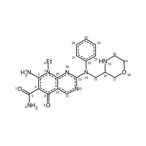 CCn1c(N)c(C(N)=O)c(=O)c2cnc(N(CC3COCCN3)c3ccccc3)nc21